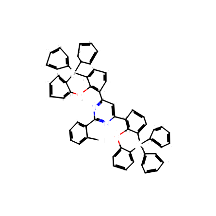 Cc1ccccc1-c1nc(-c2cccc3c2Oc2ccccc2[Si]3(c2ccccc2)c2ccccc2)cc(-c2cccc3c2Oc2ccccc2[Si]3(c2ccccc2)C2C=CC=CC2)n1